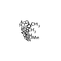 COc1nccnc1NS(=O)(=O)c1ccsc1C(=O)Nc1c(C)cc(C)c(COC(C)=O)c1C